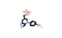 Cn1cc2c(n1)CC(CNS(C)(=O)=O)CN2c1ccc(C(F)(F)F)cc1